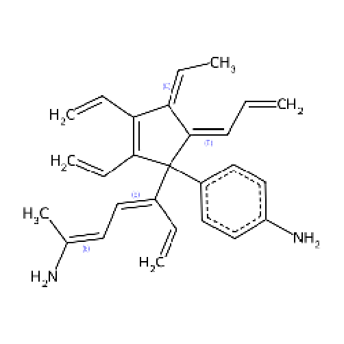 C=C/C=C1\C(=C/C)C(C=C)=C(C=C)C1(/C(C=C)=C/C=C(\C)N)c1ccc(N)cc1